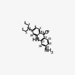 CCN(CC)c1ccc2c(=O)c3ccc(N)cc3[nH]c2c1